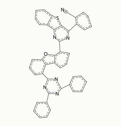 N#Cc1ccccc1-c1nc(-c2cccc3c2oc2cccc(-c4nc(-c5ccccc5)nc(-c5ccccc5)n4)c23)nc2c1sc1ccccc12